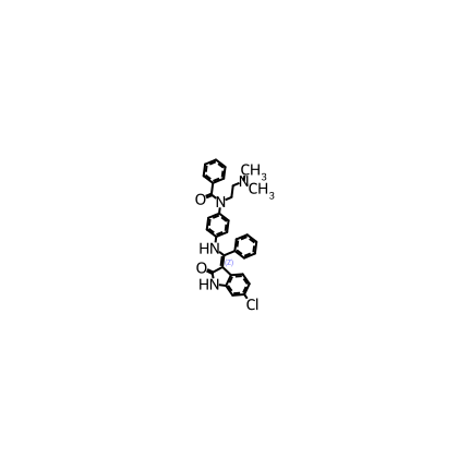 CN(C)CCN(C(=O)c1ccccc1)c1ccc(N/C(=C2\C(=O)Nc3cc(Cl)ccc32)c2ccccc2)cc1